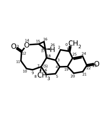 C=C1CC2C(CC[C@]3(C)CCCC(=O)OC4C[C@@H]4C23)C2CCC(=O)C=C12